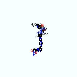 CCc1cc(Nc2ncc(Br)c(Nc3ccc4nc(C)ccc4c3P(C)(C)=O)n2)c(OC)cc1N1CCC(N2CCN(CCc3cccn4cc(C5CCC(=O)NC5=O)nc34)CC2)CC1